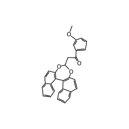 COc1cccc(C(=O)CC2Oc3ccc4ccccc4c3-c3c(ccc4ccccc34)O2)c1